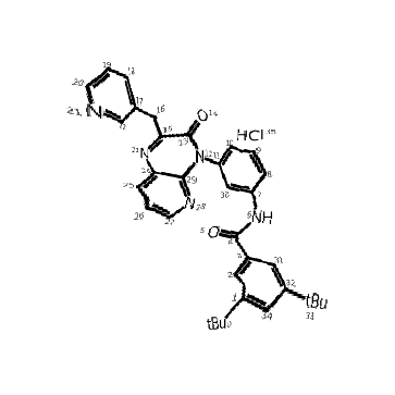 CC(C)(C)c1cc(C(=O)Nc2cccc(-n3c(=O)c(Cc4cccnc4)nc4cccnc43)c2)cc(C(C)(C)C)c1.Cl